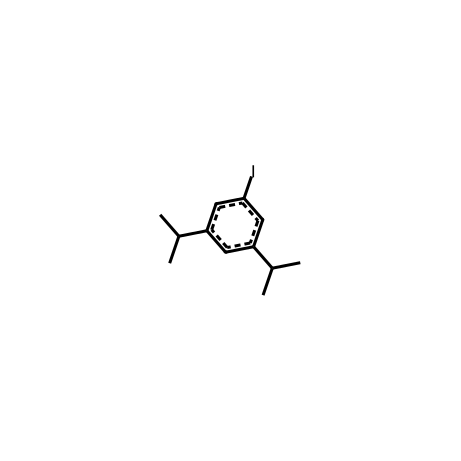 CC(C)c1cc(I)cc(C(C)C)c1